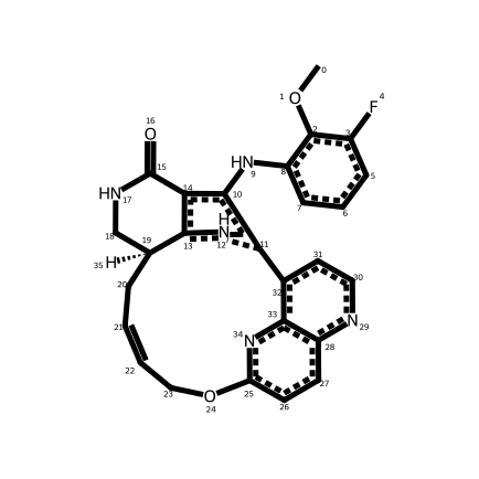 COc1c(F)cccc1Nc1c2[nH]c3c1C(=O)NC[C@@H]3C/C=C\COc1ccc3nccc-2c3n1